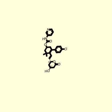 CC1(C)CC(OC(=O)Nc2cccnc2)CC(c2ccc(Cl)cc2)=C1C=C[C@H]1C[C@H](O)CC(=O)O1